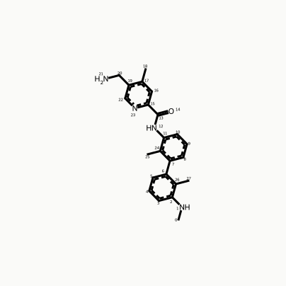 CNc1cccc(-c2cccc(NC(=O)c3cc(C)c(CN)cn3)c2C)c1C